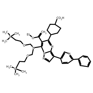 C=C(OCC)c1c(C2CCC(C(=O)O)CC2)nc2c(-c3ccc(-c4ccccc4)nc3)cnn2c1N(COCC[Si](C)(C)C)COCC[Si](C)(C)C